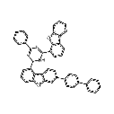 c1ccc(C2=NC(c3cccc4oc5cc(-c6ccc(-c7ccccc7)cc6)ccc5c34)NC(c3cccc4c3oc3ccccc34)=N2)cc1